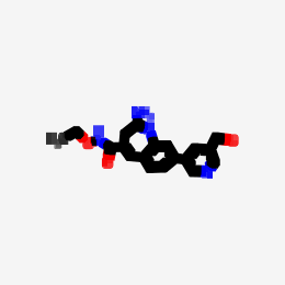 CCONC(=O)C1=Cc2ccc(-c3cncc(C=O)c3)cc2N=C(N)C1